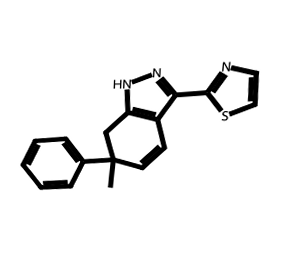 CC1(c2ccccc2)C=Cc2c(-c3nccs3)n[nH]c2C1